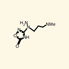 CNCCCN(N)c1noc(=O)[nH]1